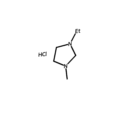 CCN1CCN(C)C1.Cl